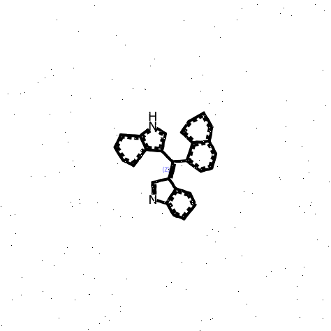 C1=Nc2ccccc2/C1=C(\c1cccc2ccccc12)c1c[nH]c2ccccc12